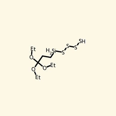 CCOC(CC[SiH2]SSSS)(OCC)OCC